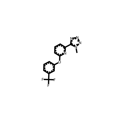 Cn1nnnc1-c1cccc(Oc2cccc(C(F)(F)F)c2)n1